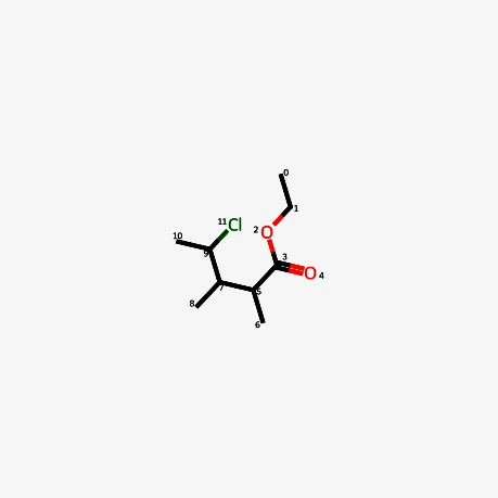 CCOC(=O)C(C)C(C)C(C)Cl